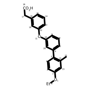 CCOc1ccc(-c2cccc(Oc3cccc(CC(=O)O)c3)c2)c(C)c1